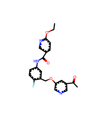 CCOc1ccc(C(=O)Nc2ccc(F)c(COc3cncc(C(C)=O)c3)c2)cn1